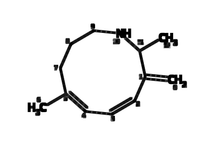 C=C1/C=C\C=C(\C)CCCNC1C